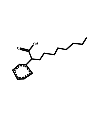 CCCCCCCCC(C(=O)O)c1ccccc1